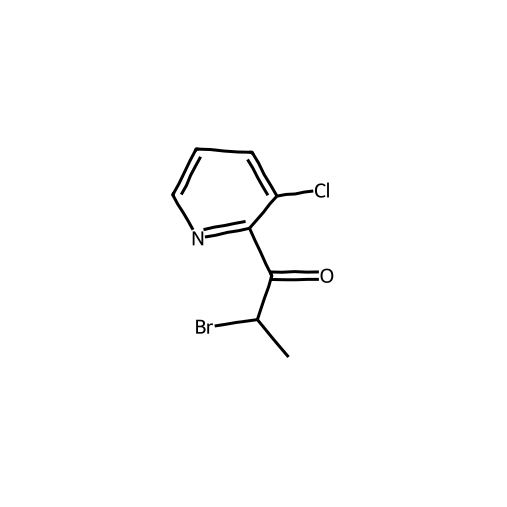 CC(Br)C(=O)c1ncccc1Cl